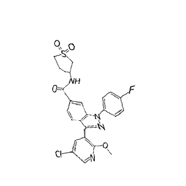 COc1ncc(Cl)cc1-c1nn(-c2ccc(F)cc2)c2cc(C(=O)NC3CCS(=O)(=O)C3)ccc12